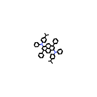 CC(C)c1ccc(N(C2=CC=CCC2)c2cc(-c3ccccc3)c3ccc4c(N(c5ccccc5)c5ccc(C(C)C)cc5)cc(-c5ccccc5)c5ccc2c3c54)cc1